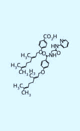 CC(C)=CCC/C(C)=C/COc1ccc(C(=O)NCC(=O)Nc2ccccn2)cc1.CC(C)=CCC/C(C)=C/COc1ccc(C(=O)O)cc1